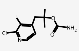 CC(C)(Cc1ccnc(Cl)c1I)OC(N)=O